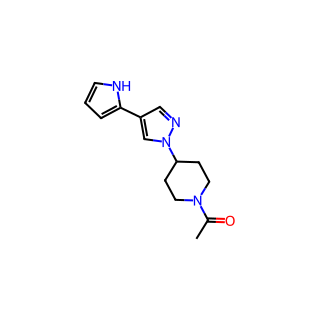 CC(=O)N1CCC(n2cc(-c3ccc[nH]3)cn2)CC1